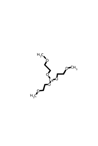 COCC[O][La]([O]CCOC)[O]CCOC